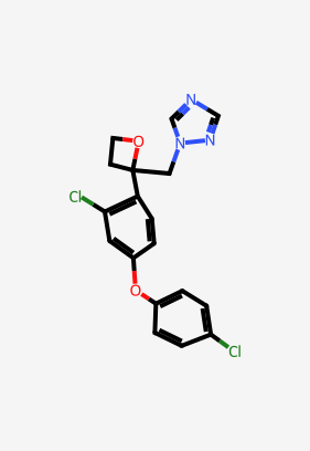 Clc1ccc(Oc2ccc(C3(Cn4cncn4)CCO3)c(Cl)c2)cc1